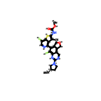 CN[C@H]1CCN(c2ncc3c4c(c(-c5ncc(F)c6sc(NC(=O)OC(C)(C)C)c(C#N)c56)c(F)c3n2)COC4)C1